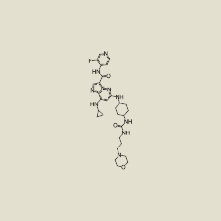 O=C(NCCCN1CCOCC1)NC1CCC(Nc2cc(NC3CC3)c3ncc(C(=O)Nc4ccncc4F)n3n2)CC1